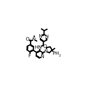 CC(C)c1ncc(C(=O)Nc2c(-c3cc(C(=O)N(C)C)ccc3F)ccnc2N2CCC(C)(P)C2)cn1